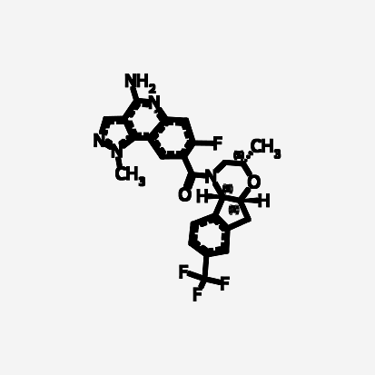 C[C@H]1CN(C(=O)c2cc3c(cc2F)nc(N)c2cnn(C)c23)[C@H]2c3ccc(C(F)(F)F)cc3C[C@H]2O1